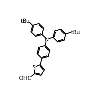 CC(C)(C)c1ccc(N(c2ccc(-c3ccc(C=O)s3)cc2)c2ccc(C(C)(C)C)cc2)cc1